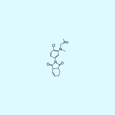 CPCN(C)c1cc(N2C(=O)C3C=CCCC3C2=O)ccc1Cl